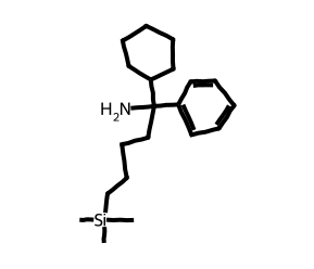 C[Si](C)(C)CCCCC(N)(c1ccccc1)C1CCCCC1